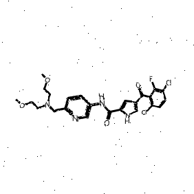 COCCN(CCOC)Cc1ccc(NC(=O)c2cc(C(=O)c3c(Cl)ccc(Cl)c3F)c[nH]2)cn1